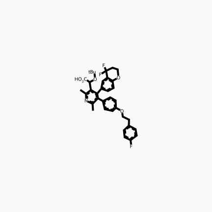 Cc1nc(C)c(C(OC(C)(C)C)C(=O)O)c(-c2ccc3c(c2)C(F)(F)CCO3)c1-c1ccc(OCCc2ccc(F)cc2)cc1